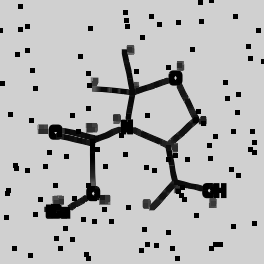 CC(O)C1COC(C)(C)N1C(=O)OC(C)(C)C